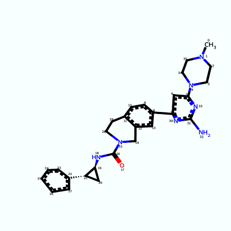 CN1CCN(c2cc(-c3ccc4c(c3)CN(C(=O)N[C@H]3C[C@@H]3c3ccccc3)CC4)nc(N)n2)CC1